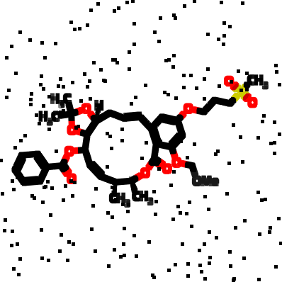 COCOc1cc(OCCCS(C)(=O)=O)cc2c1C(=O)O[C@@H](C)[C@H](C)/C=C\C(OC(=O)c1ccccc1)C1OC(C)(C)O[C@H]1C/C=C/2